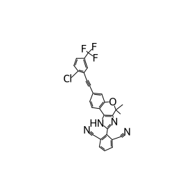 CC1(C)Oc2cc(C#Cc3cc(C(F)(F)F)ccc3Cl)ccc2-c2[nH]c(-c3c(C#N)cccc3C#N)nc21